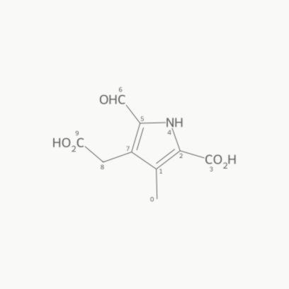 Cc1c(C(=O)O)[nH]c(C=O)c1CC(=O)O